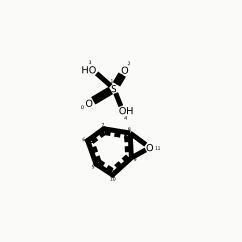 O=S(=O)(O)O.c1ccc2c(c1)O2